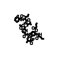 CCCC(=O)Nc1cc(C[C@@H](CC(C)C(=O)OF)NC(=O)c2csc([C@@H](CC(C(C)C)N(C)C(=O)[C@@H](NC(=O)[C@H]3CCCCN3C)[C@@H](C)CC)OC(C)=O)n2)ccc1OC(=O)CCC